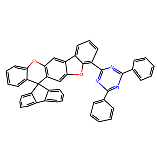 c1ccc(-c2nc(-c3ccccc3)nc(-c3cccc4c3oc3cc5c(cc34)Oc3ccccc3C53c4ccccc4-c4ccccc43)n2)cc1